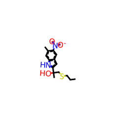 CCCSCC(C)(O)c1cc2cc([N+](=O)[O-])c(C)cc2[nH]1